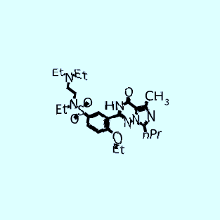 CCCc1nc(C)c2c(=O)[nH]c(-c3cc(S(=O)(=O)N(CC)CCN(CC)CC)ccc3OCC)nn12